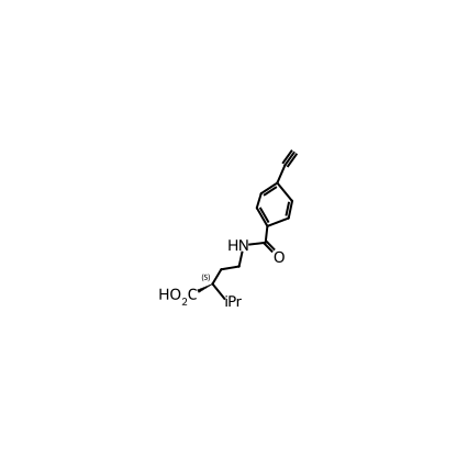 C#Cc1ccc(C(=O)NCC[C@H](C(=O)O)C(C)C)cc1